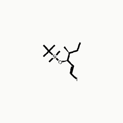 CC[C@H](C)[C@@H](/C=C/I)O[Si](C)(C)C(C)(C)C